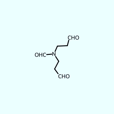 O=CCCN(C=O)CCC=O